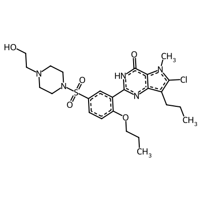 CCCOc1ccc(S(=O)(=O)N2CCN(CCO)CC2)cc1-c1nc2c(CCC)c(Cl)n(C)c2c(=O)[nH]1